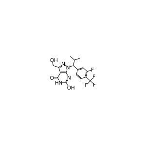 CC(C)C(c1ccc(C(F)(F)F)c(F)c1)n1nc(CO)c2c(=O)[nH]c(O)nc21